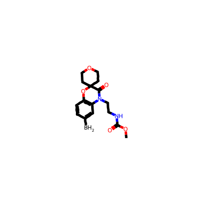 Bc1ccc2c(c1)N(CCNC(=O)OC)C(=O)C1(CCOCC1)O2